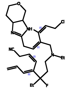 C=C/C=C(\C=C/CC#N)C(F)(CC)CCN(CC)CC(=C/CC1=NC2CCOCC2N1)/C(C)=C\CCl